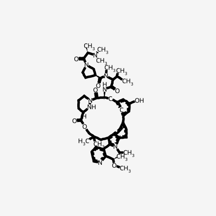 CCn1c(-c2cccnc2[C@H](C)OC)c2c3cc(ccc31)-c1cc(O)cc(c1)C[C@H](NC(=O)C(C(C)C)N(C)C(=O)[C@H]1CCN(C(=O)[C@H](C)N(C)C)C1)C(=O)N1CCC[C@H](N1)C(=O)OCC(C)(C)C2